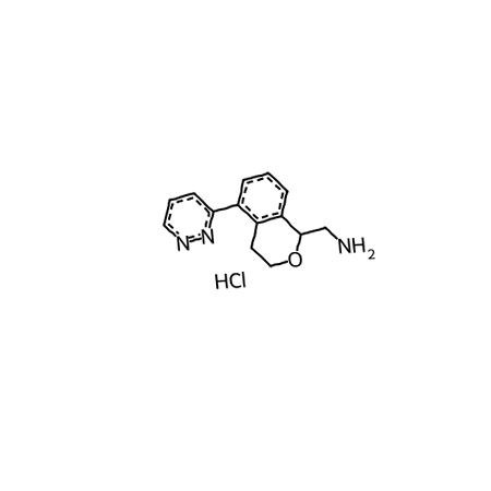 Cl.NCC1OCCc2c(-c3cccnn3)cccc21